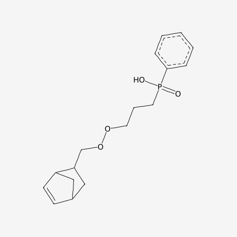 O=P(O)(CCCOOCC1CC2C=CC1C2)c1ccccc1